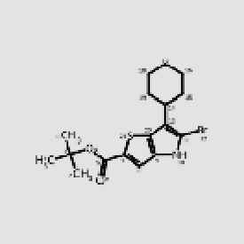 CC(C)(C)OC(=O)c1cc2[nH]c(Br)c(C3CCCCC3)c2s1